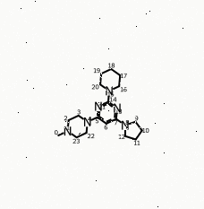 CN1CCN(c2cc(N3CCCC3)nc(N3CCCCC3)n2)CC1